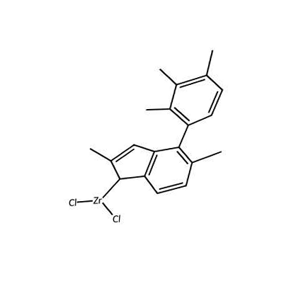 CC1=Cc2c(ccc(C)c2-c2ccc(C)c(C)c2C)[CH]1[Zr]([Cl])[Cl]